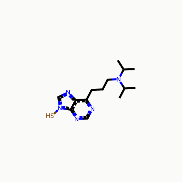 CC(C)N(CCCc1ncnc2c1ncn2S)C(C)C